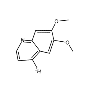 [2H]c1ccnc2cc(OC)c(OC)cc12